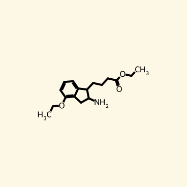 CCOC(=O)CCCC1c2cccc(OCC)c2CC1N